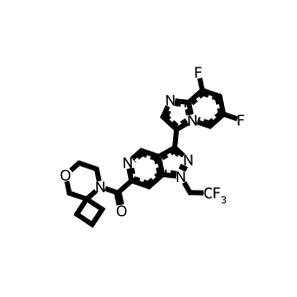 O=C(c1cc2c(cn1)c(-c1cnc3c(F)cc(F)cn13)nn2CC(F)(F)F)N1CCOCC12CCC2